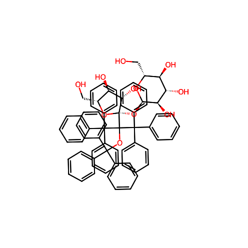 OC[C@H]1O[C@](O[C@H]2O[C@H](CO)[C@@H](O)[C@H](O)[C@H]2O)(C(OC(c2ccccc2)(c2ccccc2)c2ccccc2)(C(c2ccccc2)(c2ccccc2)c2ccccc2)C(c2ccccc2)(c2ccccc2)c2ccccc2)[C@@H](O)[C@@H]1O